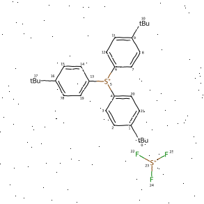 CC(C)(C)c1ccc([S+](c2ccc(C(C)(C)C)cc2)c2ccc(C(C)(C)C)cc2)cc1.F[S+](F)F